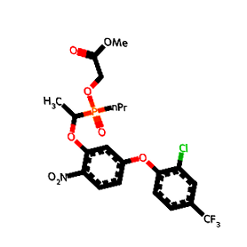 CCCP(=O)(OCC(=O)OC)C(C)Oc1cc(Oc2ccc(C(F)(F)F)cc2Cl)ccc1[N+](=O)[O-]